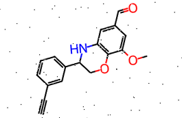 C#Cc1cccc(C2COc3c(cc(C=O)cc3OC)N2)c1